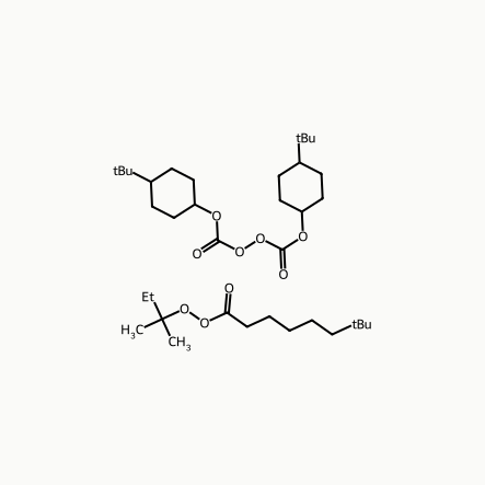 CC(C)(C)C1CCC(OC(=O)OOC(=O)OC2CCC(C(C)(C)C)CC2)CC1.CCC(C)(C)OOC(=O)CCCCCC(C)(C)C